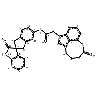 O=C(Cc1cn2c3c(cccc13)NC(=O)CCC2)Nc1ccc2c(c1)CC1(C2)C(=O)Nc2ncccc21